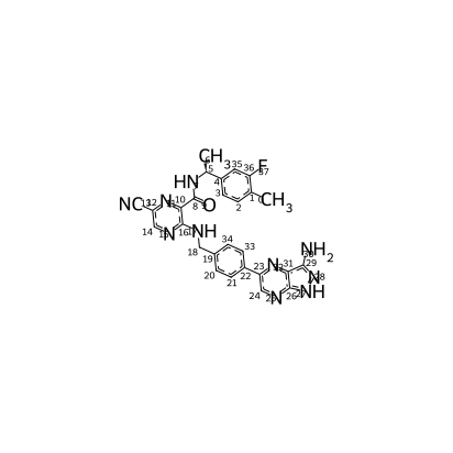 Cc1ccc([C@H](C)NC(=O)c2nc(C#N)cnc2NCc2ccc(-c3cnc4[nH]nc(N)c4n3)cc2)cc1F